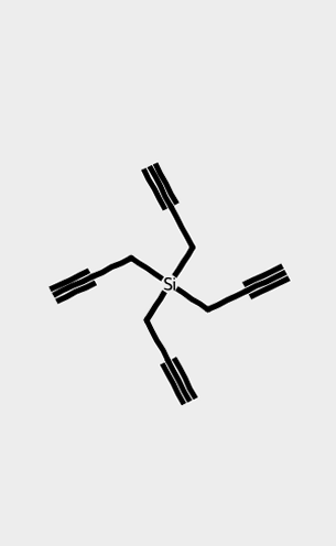 C#CC[Si](CC#C)(CC#C)CC#C